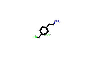 Cl.NCCc1ccc(CCl)cc1